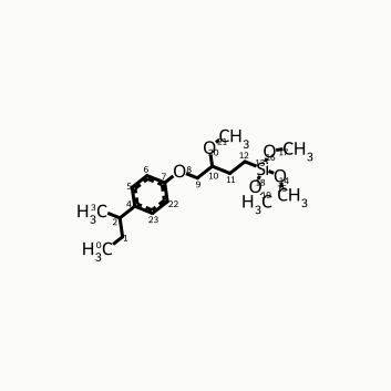 CCC(C)c1ccc(OCC(CC[Si](OC)(OC)OC)OC)cc1